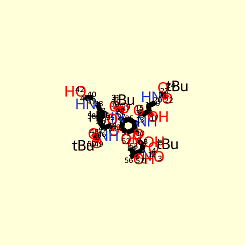 CN(C(=O)OC(C)(C)C)C1C(O)C(OC2C(NC(=O)C(O)CCNC(=O)OC(C)(C)C)CC(NC(=O)OC(C)(C)C)C(OC3OC4C(CNCCO)[C@H]4CC3NC(=O)OC(C)(C)C)C2O)OCC1(C)O